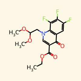 CCOC(=O)c1cn(CC(OC)OC)c2c(F)c(F)c(F)cc2c1=O